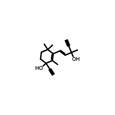 C#CC(C)(O)C=CC1=C(C)C(O)(C#C)CCC1(C)C